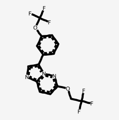 FC(F)(F)COc1ccc2ncc(-c3cccc(OC(F)(F)F)c3)n2n1